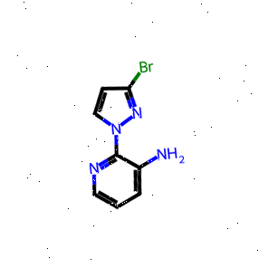 Nc1cccnc1-n1ccc(Br)n1